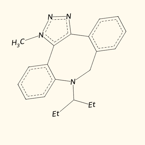 CCC(CC)N1Cc2ccccc2-c2nnn(C)c2-c2ccccc21